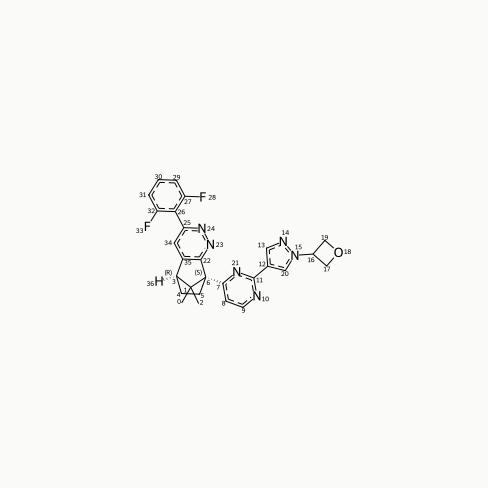 CC1(C)[C@H]2CC[C@]1(c1ccnc(-c3cnn(C4COC4)c3)n1)c1nnc(-c3c(F)cccc3F)cc12